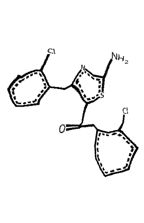 Nc1nc(-c2ccccc2Cl)c(C(=O)c2ccccc2Cl)s1